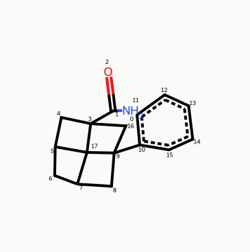 NC(=O)C12CC3CC4CC(c5ccccc5)(C1)C342